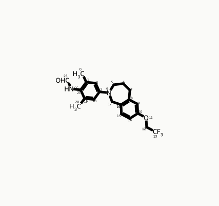 Cc1cc(N2CCCc3cc(OCC(F)(F)F)ccc3C2)cc(C)c1NC=O